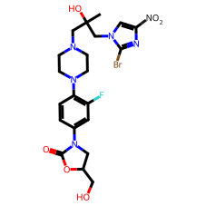 CC(O)(CN1CCN(c2ccc(N3CC(CO)OC3=O)cc2F)CC1)Cn1cc([N+](=O)[O-])nc1Br